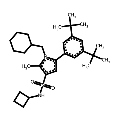 Cc1c(S(=O)(=O)NC2CCC2)cc(-c2cc(C(C)(C)C)cc(C(C)(C)C)c2)n1CC1CCCCC1